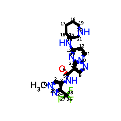 Cn1cc(NC(=O)c2cnn3ccc(N[C@H]4CCCCNC4)nc23)c(C(F)(F)F)n1